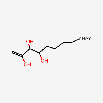 C=C(O)C(O)C(O)CCCCCCCCCC